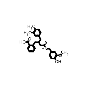 COc1cc(CNC(=S)CC(Cc2ccc(C)c(C)c2)Cc2ccccc2C(=O)O)ccc1O